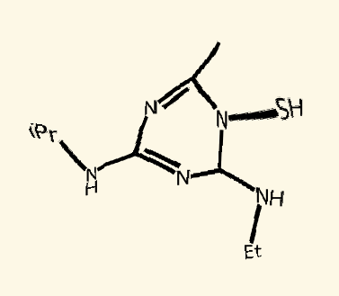 CCNC1N=C(NC(C)C)N=C(C)N1S